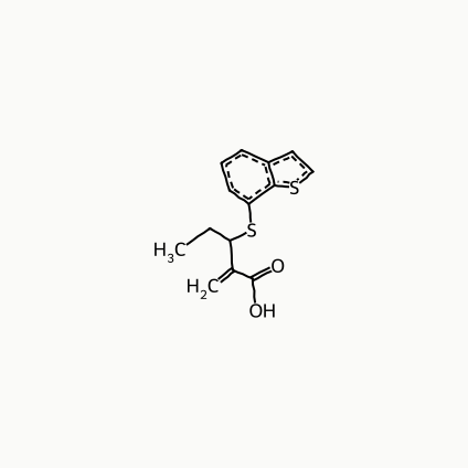 C=C(C(=O)O)C(CC)Sc1cccc2ccsc12